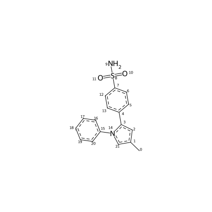 Cc1cc(-c2ccc(S(N)(=O)=O)cc2)n(-c2cc[c]cc2)c1